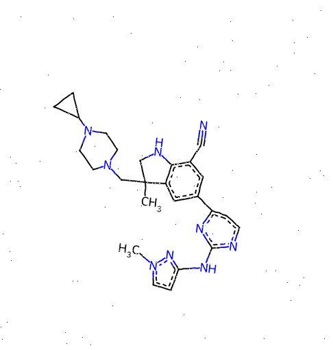 Cn1ccc(Nc2nccc(-c3cc(C#N)c4c(c3)C(C)(CN3CCN(C5CC5)CC3)CN4)n2)n1